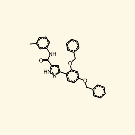 Cc1cccc(NC(=O)c2cc(-c3ccc(OCc4ccccc4)cc3OCc3ccccc3)n[nH]2)c1